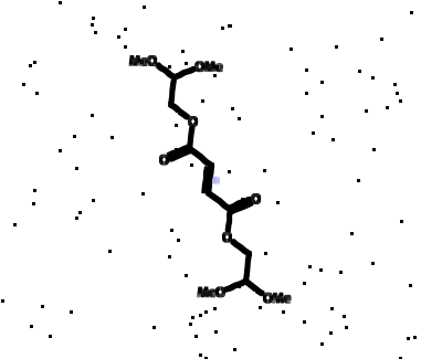 COC(COC(=O)/C=C/C(=O)OCC(OC)OC)OC